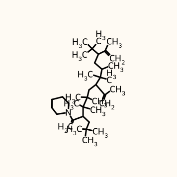 C=C(C)C(CC(C)C(C)(C)C(CC(C)(C)C(C)(C)C(CC(C)(C)C)C(=C)N1CCCCC1)C(=C)C)C(C)(C)C